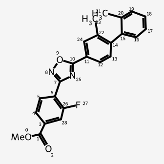 COC(=O)c1ccc(-c2noc(-c3ccc(-c4ccccc4C)c(C)c3)n2)c(F)c1